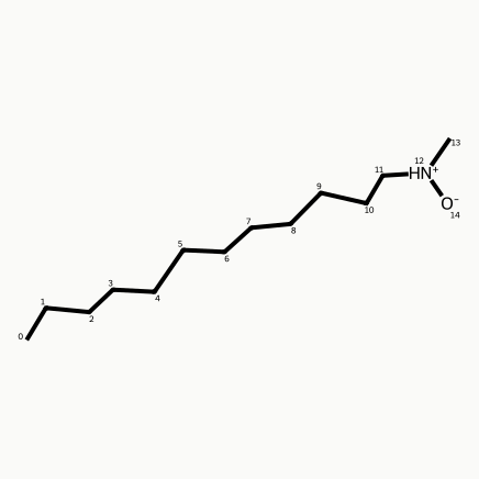 CCCCCCCCCCCC[NH+](C)[O-]